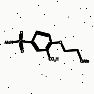 CNS(=O)(=O)c1ccc(OCCOC)c(C(=O)O)c1